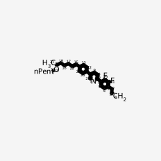 C=CCc1ccc(-c2ccc(-c3ccc(/C=C/CCCC(C)OCCCCC)cc3)cn2)c(F)c1F